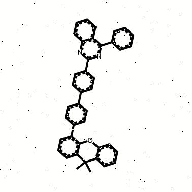 CC1(C)c2ccccc2Oc2c(-c3ccc(-c4ccc(-c5nc(-c6ccccc6)c6ccccc6n5)cc4)cc3)cccc21